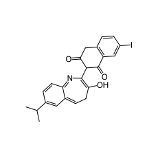 CC(C)c1ccc2c(c1)=CCC(O)=C(C1C(=O)Cc3ccc(I)cc3C1=O)N=2